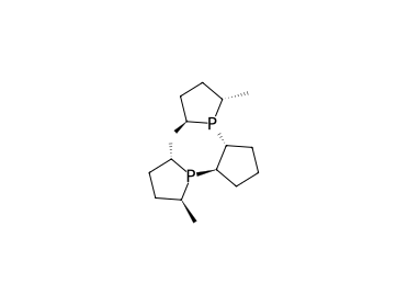 C[C@H]1CC[C@H](C)P1[C@@H]1CCC[C@H]1P1[C@@H](C)CC[C@@H]1C